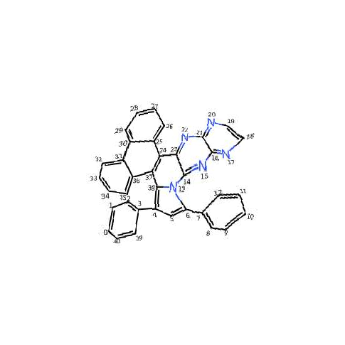 c1ccc(-c2cc(-c3ccccc3)n3c4nc5nccnc5nc4c4c5ccccc5c5ccccc5c4c23)cc1